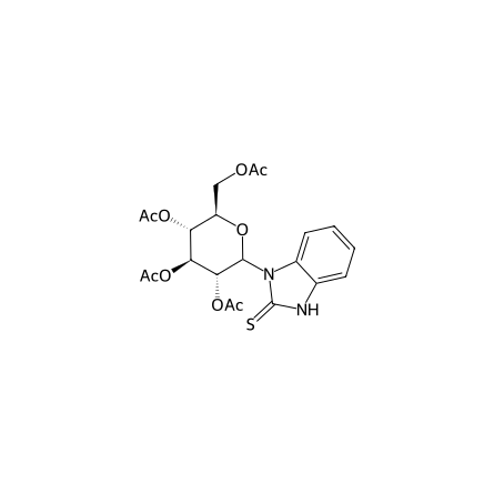 CC(=O)OC[C@H]1OC(n2c(=S)[nH]c3ccccc32)[C@H](OC(C)=O)[C@@H](OC(C)=O)[C@@H]1OC(C)=O